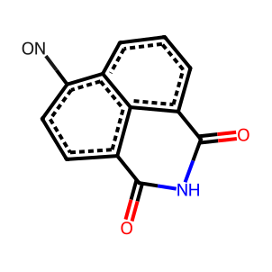 O=Nc1ccc2c3c(cccc13)C(=O)NC2=O